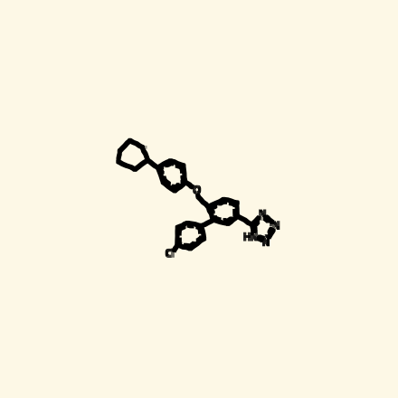 Clc1ccc(-c2cc(-c3nnn[nH]3)ccc2COc2ccc(C3[CH]CCCC3)cc2)cc1